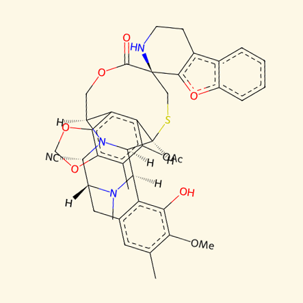 COc1c(C)cc2c(c1O)[C@@H]1[C@@H]3[C@@H]4SC[C@]5(NCCc6c5oc5ccccc65)C(=O)OC[C@@H](c5c6c(c(C)c(OC(C)=O)c54)OCO6)N3[C@@H](C#N)[C@@H](C2)N1C